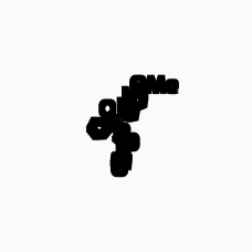 COc1ccc2ccc(N3C(=O)c4ccccc4C3OCC(=O)N3CCOCC3)nc2n1